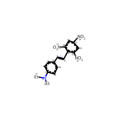 CCN(CC)c1ccc(/C=C/c2c([N+](=O)[O-])cc([N+](=O)[O-])cc2[N+](=O)[O-])cc1